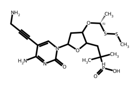 CSS[C@@H](C)OC1CC(n2cc(C#CCN)c(N)nc2=O)OC1CC(C)(C)[PH](=O)O